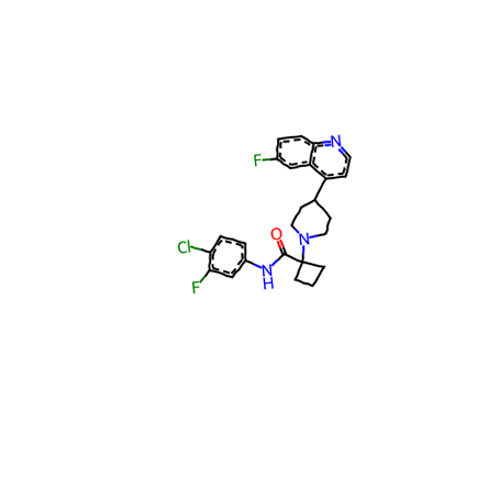 O=C(Nc1ccc(Cl)c(F)c1)C1(N2CCC(c3ccnc4ccc(F)cc34)CC2)CCC1